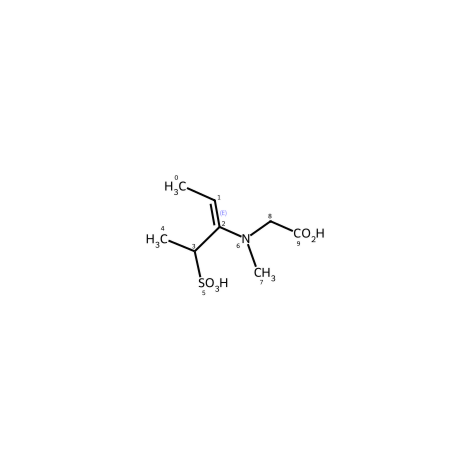 C/C=C(\C(C)S(=O)(=O)O)N(C)CC(=O)O